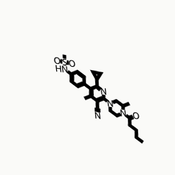 CCCCC(=O)N1CCN(c2nc(C3CC3)c(-c3ccc(NS(C)(=O)=O)cc3)c(C)c2C#N)CC1C